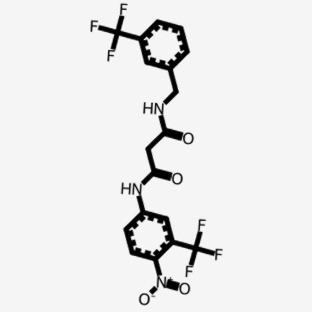 O=C(CC(=O)Nc1ccc([N+](=O)[O-])c(C(F)(F)F)c1)NCc1cccc(C(F)(F)F)c1